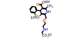 CCOC(=O)CNCCOCC1=C(C(=O)OCC)C(c2ccccc2Cl)C(C(=O)OC)=C(C)N1